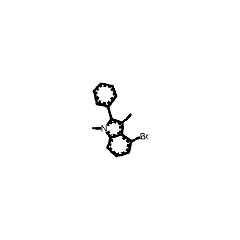 Cc1c(-c2ccccc2)n(C)c2cccc(Br)c12